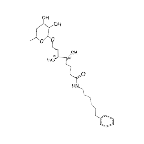 CC1CC(O)C(O)C(OCC[C@H](O)[C@H](O)CCCC(=O)NCCCCCCc2ccccc2)O1